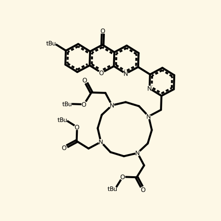 CC(C)(C)OC(=O)CN1CCN(CC(=O)OC(C)(C)C)CCN(Cc2cccc(-c3ccc4c(=O)c5cc(C(C)(C)C)ccc5oc4n3)n2)CCN(CC(=O)OC(C)(C)C)CC1